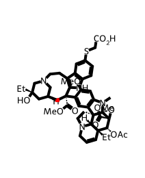 CC[C@]1(O)C[C@H]2CN(CCc3c([nH]c4ccc(SCC(=O)O)cc34)[C@@](C(=O)OC)(c3cc4c(cc3OC)N(C)[C@@]35O[C@]3(C(=O)OC)[C@H](OC(C)=O)[C@]3(CC)C=CCN6CC[C@]45[C@@H]63)C2)C1